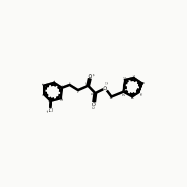 O=C(CCc1cccc(Cl)c1)C(=O)OCc1ccccc1